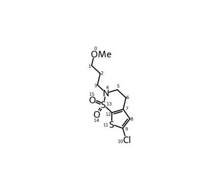 COCCCN1CCc2cc(Cl)sc2S1(=O)=O